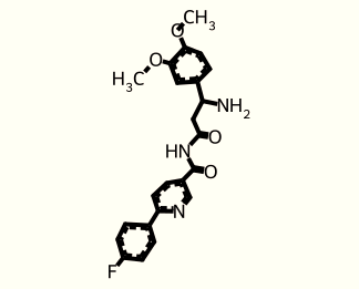 COc1ccc(C(N)CC(=O)NC(=O)c2ccc(-c3ccc(F)cc3)nc2)cc1OC